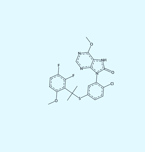 COc1ccc(F)c(F)c1C(C)(C)Sc1ccc(Cl)c(-n2c(=O)[nH]c3c(OC)ncnc32)c1